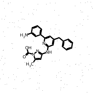 Cc1cc(Nc2cc(Cc3ccccc3)cc(-c3cccc(N)c3)n2)nn1C(=O)O